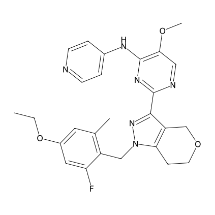 CCOc1cc(C)c(Cn2nc(-c3ncc(OC)c(Nc4ccncc4)n3)c3c2CCOC3)c(F)c1